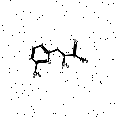 Cc1cccc(C[C@H](N)C(N)=O)c1